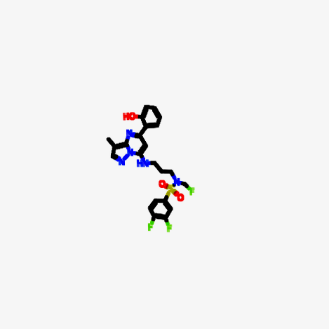 Cc1cnn2c(NCCCN(CF)S(=O)(=O)c3ccc(F)c(F)c3)cc(-c3ccccc3O)nc12